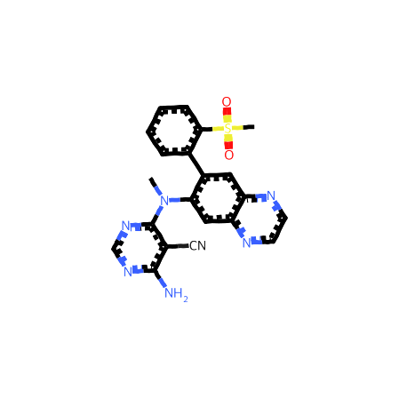 CN(c1cc2nccnc2cc1-c1ccccc1S(C)(=O)=O)c1ncnc(N)c1C#N